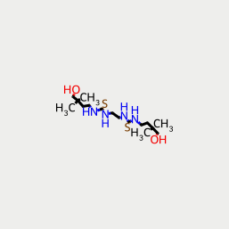 CC(C)(CO)CCNC(=S)NCCNC(=S)NCCC(C)(C)CO